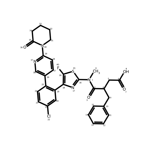 CN(C(=O)C(CC(=O)O)Cc1ccccc1)c1nc(-c2cc(Cl)ccc2-c2ccc(N3CCCCC3=O)nc2)c(F)s1